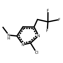 CNc1cc(CC(F)(F)F)nc(Cl)n1